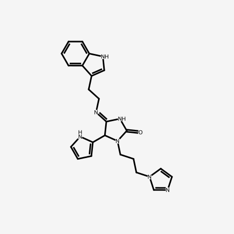 O=C1NC(=NCCc2c[nH]c3ccccc23)C(c2ccc[nH]2)N1CCCn1ccnc1